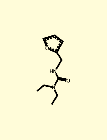 CCN(CC)C(=O)NCc1ccco1